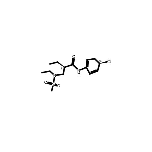 CC[C@H](CN(CC)S(C)(=O)=O)C(=O)NC1=CC[C@@H](Cl)C=C1